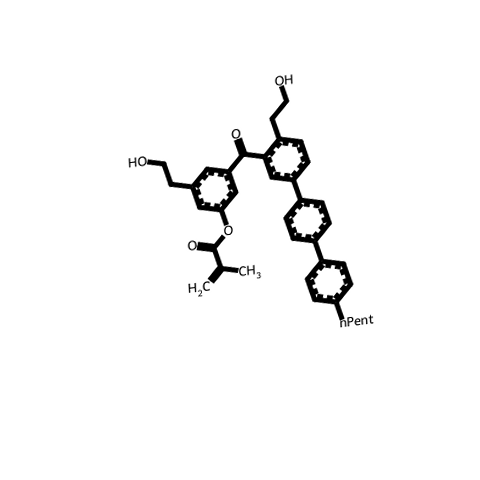 C=C(C)C(=O)Oc1cc(CCO)cc(C(=O)c2cc(-c3ccc(-c4ccc(CCCCC)cc4)cc3)ccc2CCO)c1